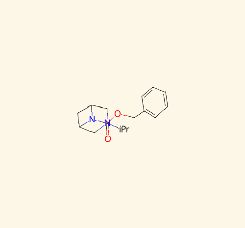 CC(C)N1CC2CC(C1)N2C(=O)OCc1ccccc1